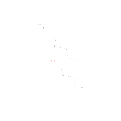 CCCCCC[S+]([O-])[S+]([O-])C(C)CCCC